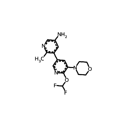 Cc1ncc(N)cc1-c1cnc(OC(F)F)c(N2CCOCC2)c1